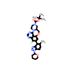 Cc1ccc2c(nnn2C2CCCCO2)c1-c1cc2c3c(ncnc3c1F)N1CCN(C(=O)OC(C)(C)C)CC1CO2